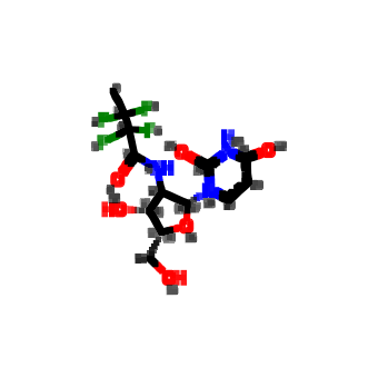 CC(F)(F)C(F)(F)C(=O)NC1[C@@H](O)[C@@H](CO)O[C@H]1n1ccc(=O)[nH]c1=O